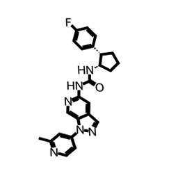 Cc1cc(-n2ncc3cc(NC(=O)N[C@H]4CCC[C@H]4c4ccc(F)cc4)ncc32)ccn1